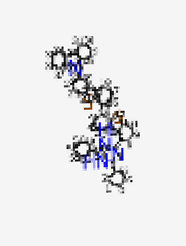 c1ccc(C2N=C(c3cccc4sc5c(-c6cccc7c6sc6ccc(-n8c9ccccc9c9ccccc98)cc67)cccc5c34)NC(c3ccccc3)N2)cc1